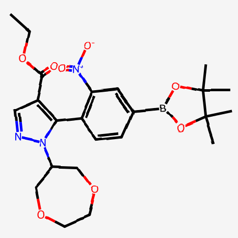 CCOC(=O)c1cnn(C2COCCOC2)c1-c1ccc(B2OC(C)(C)C(C)(C)O2)cc1[N+](=O)[O-]